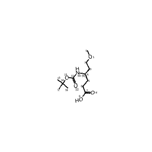 COCC[C@@H](CCC(=O)O)NC(=O)OC(C)(C)C